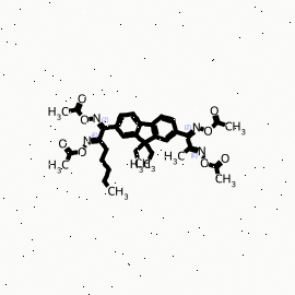 CCCCCC(=N\OC(C)=O)/C(=N\OC(C)=O)c1ccc2c(c1)C(CC)(CC)c1cc(C(=N/OC(C)=O)/C(C)=N/OC(C)=O)ccc1-2